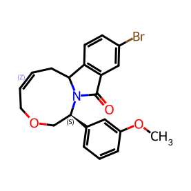 COc1cccc([C@H]2COC/C=C\CC3c4ccc(Br)cc4C(=O)N32)c1